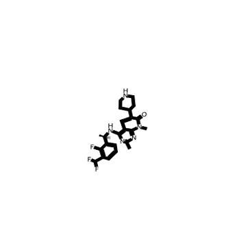 Cc1nc(N[C@H](C)c2cccc(C(F)F)c2F)c2cc(C3CCNCC3)c(=O)n(C)c2n1